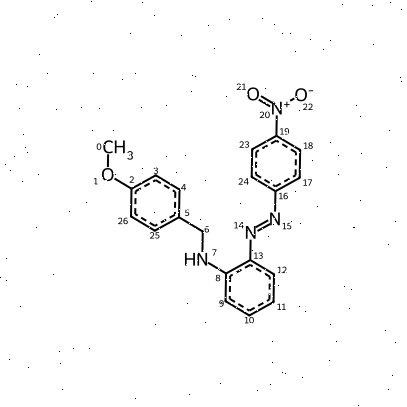 COc1ccc(CNc2ccccc2N=Nc2ccc([N+](=O)[O-])cc2)cc1